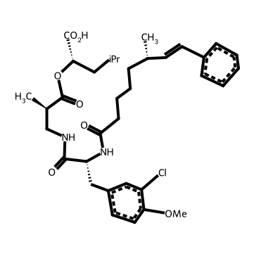 COc1ccc(C[C@@H](NC(=O)CCCC[C@H](C)/C=C/c2ccccc2)C(=O)NC[C@@H](C)C(=O)O[C@@H](CC(C)C)C(=O)O)cc1Cl